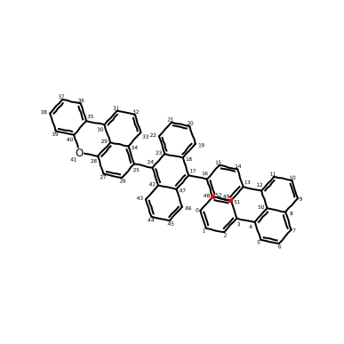 c1ccc(-c2cccc3cccc(-c4ccc(-c5c6ccccc6c(-c6ccc7c8c(cccc68)-c6ccccc6O7)c6ccccc56)cc4)c23)cc1